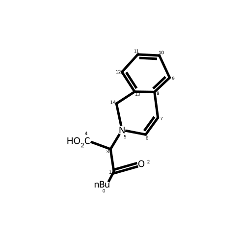 CCCCC(=O)C(C(=O)O)N1C=Cc2ccccc2C1